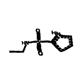 CCNS(=O)(=O)c1ccc[nH]1